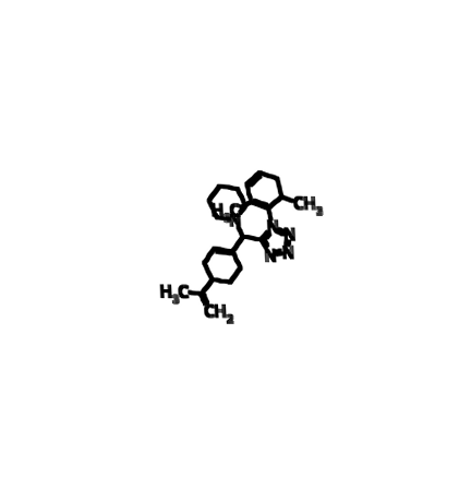 C=C(C)C1CC=C(C(c2nnnn2C2=C(C)C=CCC2C)N2CCCCC2)CC1